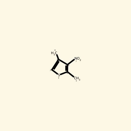 Cc1csc(C)c1[N+](=O)[O-]